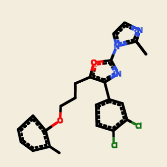 Cc1ccccc1OCCCc1oc(-n2ccnc2C)nc1-c1ccc(Cl)c(Cl)c1